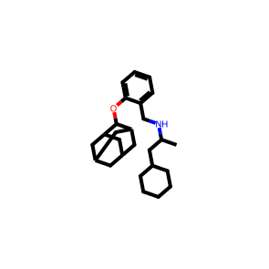 CC(CC1CCCCC1)NCc1ccccc1OC1C2CC3CC(C2)CC1C3